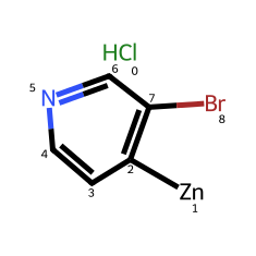 Cl.[Zn][c]1ccncc1Br